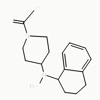 CCC(=O)N1CCC(N(C)C2CCCc3ccccc32)CC1